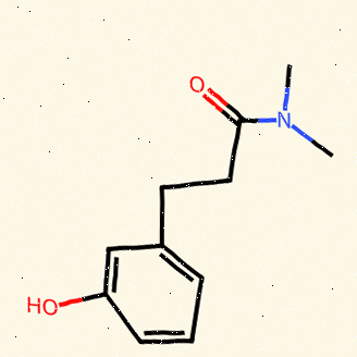 CN(C)C(=O)CCc1cccc(O)c1